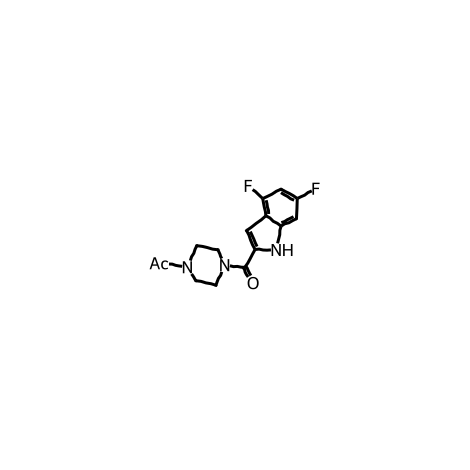 CC(=O)N1CCN(C(=O)c2cc3c(F)cc(F)cc3[nH]2)CC1